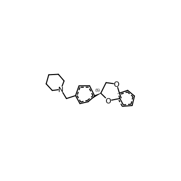 c1ccc2c(c1)OC[C@H](c1ccc(CN3CCCCC3)cc1)O2